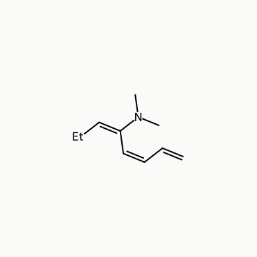 C=C/C=C\C(=C/CC)N(C)C